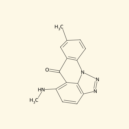 CNc1ccc2nnn3c4ccc(C)cc4c(=O)c1c23